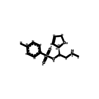 CNCC(OS(=O)(=O)c1ccc(C)cc1)[C@@H]1C=CCO1